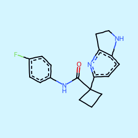 O=C(Nc1ccc(F)cc1)C1(c2ccc3c(n2)CCN3)CCC1